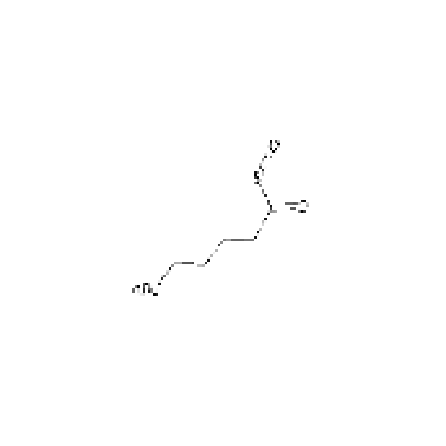 CCCCCCC=CC(=O)[S+]=O